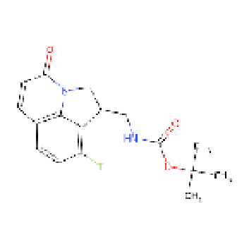 CC(C)(C)OC(=O)NCC1Cn2c(=O)ccc3ccc(F)c1c32